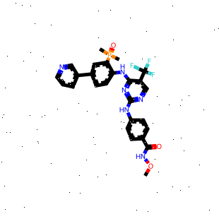 CONC(=O)c1ccc(Nc2ncc(C(F)(F)F)c(Nc3ccc(-c4cccnc4)cc3P(C)(C)=O)n2)cc1